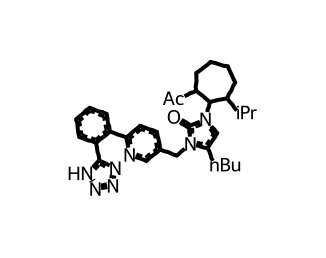 CCCCc1cn(C2C(C(C)=O)CCCCC2C(C)C)c(=O)n1Cc1ccc(-c2ccccc2-c2nnn[nH]2)nc1